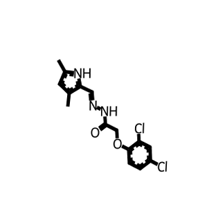 Cc1cc(C)c(/C=N/NC(=O)COc2ccc(Cl)cc2Cl)[nH]1